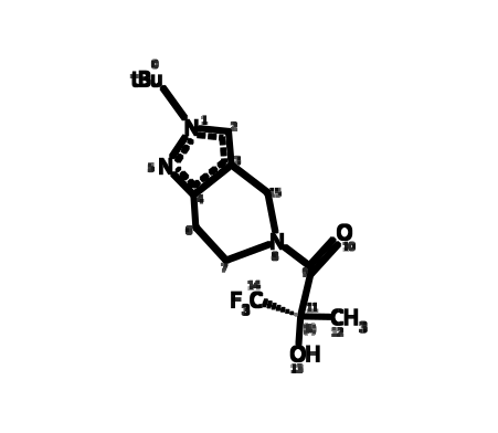 CC(C)(C)n1cc2c(n1)CCN(C(=O)[C@@](C)(O)C(F)(F)F)C2